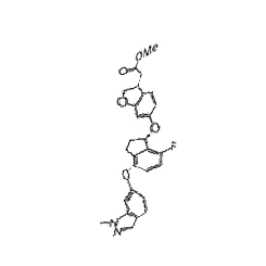 COC(=O)CC1COc2cc(O[C@@H]3CCc4c(Oc5ccc6cnn(C)c6c5)ccc(F)c43)ccc21